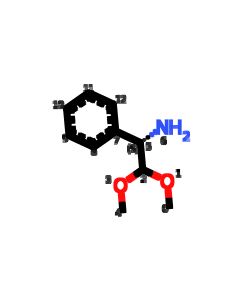 COC(OC)[C@@H](N)c1ccccc1